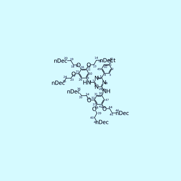 [CH2]Cc1ccc(-c2nc(Nc3cc(OCCCCCCCCCCCC)c(OCCCCCCCCCCCC)c(OCCCCCCCCCCCC)c3)nc(Nc3cc(OCCCCCCCCCCCC)c(OCCCCCCCCCCCC)c(OCCCCCCCCCCCC)c3)n2)cc1